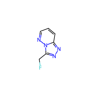 FCc1nnc2cccnn12